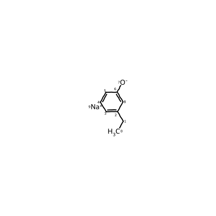 CCc1cccc([O-])c1.[Na+]